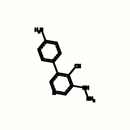 N#Cc1c(NN)cncc1-c1ccc(N)cc1